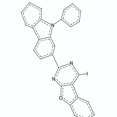 Ic1nc(-c2ccc3c4ccccc4n(-c4ccccc4)c3c2)nc2oc3ccccc3c12